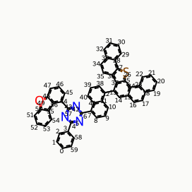 c1ccc(-c2nc(-c3cccc4c(-c5cc6ccc7ccccc7c6c6sc7c8ccccc8ccc7c56)cccc34)nc(-c3cccc4oc5ccccc5c34)n2)cc1